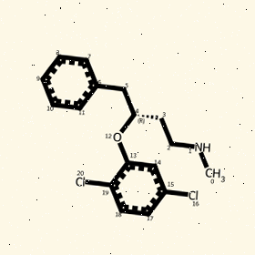 CNCC[C@@H](Cc1ccccc1)Oc1cc(Cl)ccc1Cl